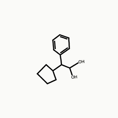 OC(O)C(c1ccccc1)C1CCCC1